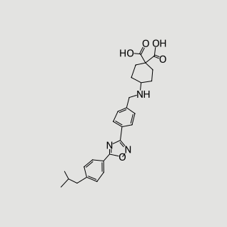 CC(C)Cc1ccc(-c2nc(-c3ccc(CNC4CCC(C(=O)O)(C(=O)O)CC4)cc3)no2)cc1